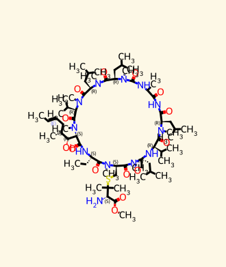 C/C=C/C[C@@H](C)[C@@H](O)[C@H]1C(=O)N[C@@H](CC)C(=O)N(C)[C@H](CSC(C)(C)[C@@H](N)C(=O)OC)C(=O)N(C)[C@@](C=O)(CC(C)C)N[C@H](C(C)C)C(=O)N(C)[C@H](CC(C)C)C(=O)NC(=O)C(C)NC(=O)N(C)[C@H](CC(C)C)C(=O)N(C)[C@H](CC(C)C)C(=O)N(C)[C@H](C(C)C)C(=O)N1C